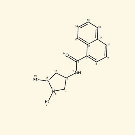 CCN1CC(NC(=O)c2cccc3ccccc23)CN1CC